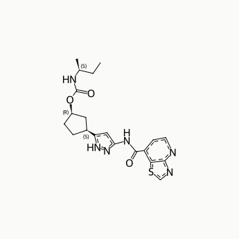 CC[C@H](C)NC(=O)O[C@@H]1CC[C@H](c2cc(NC(=O)c3ccnc4ncsc34)n[nH]2)C1